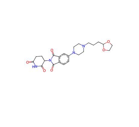 O=C1CCC(N2C(=O)c3ccc(N4CCN(CCCC5OCCO5)CC4)cc3C2=O)C(=O)N1